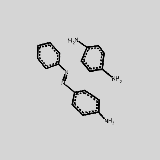 Nc1ccc(N)cc1.Nc1ccc(N=Nc2ccccc2)cc1